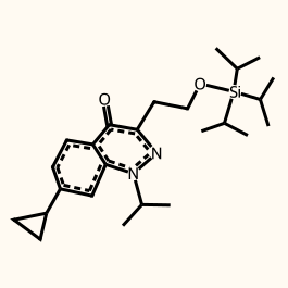 CC(C)n1nc(CCO[Si](C(C)C)(C(C)C)C(C)C)c(=O)c2ccc(C3CC3)cc21